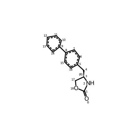 O=C1N[C@H](Cc2ccc(-c3ccccc3)cc2)CO1